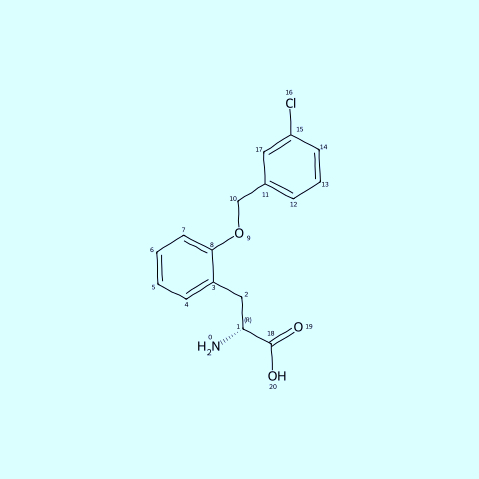 N[C@H](Cc1ccccc1OCc1cccc(Cl)c1)C(=O)O